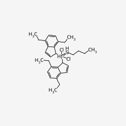 CCCC[SiH]=[Hf]([Cl])([Cl])([CH]1C=Cc2c(CC)ccc(CC)c21)[CH]1C=Cc2c(CC)ccc(CC)c21